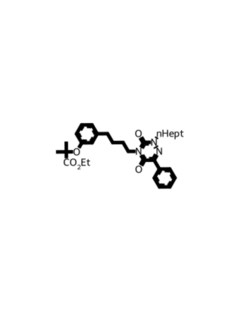 CCCCCCCn1nc(-c2ccccc2)c(=O)n(CCCCc2cccc(OC(C)(C)C(=O)OCC)c2)c1=O